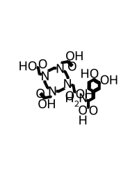 NC(Cc1ccc(O)c(O)c1)C(=O)O.O=C(O)CN1CCN(CC(=O)O)CCN(CC(=O)O)CCN(CC(=O)O)CC1